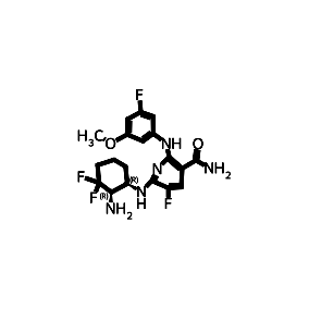 COc1cc(F)cc(Nc2nc(N[C@@H]3CCCC(F)(F)[C@@H]3N)c(F)cc2C(N)=O)c1